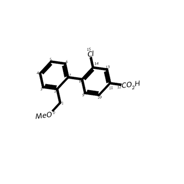 COCc1ccccc1-c1ccc(C(=O)O)cc1Cl